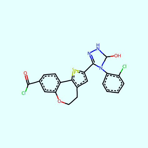 O=C(Cl)c1ccc2c(c1)OCCc1cc(C3=NNC(O)N3c3ccccc3Cl)sc1-2